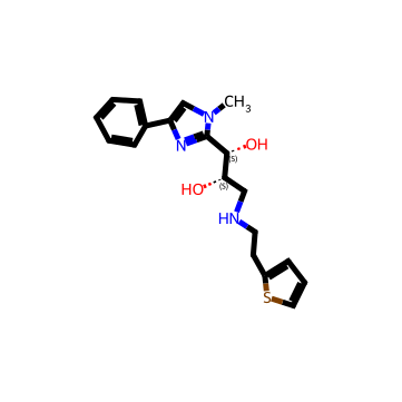 Cn1cc(-c2ccccc2)nc1[C@H](O)[C@@H](O)CNCCc1cccs1